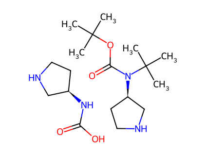 CC(C)(C)OC(=O)N([C@@H]1CCNC1)C(C)(C)C.O=C(O)N[C@@H]1CCNC1